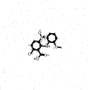 COc1ccccc1Nc1c([N+](=O)[O-])ccc(Cl)c1C(=O)O